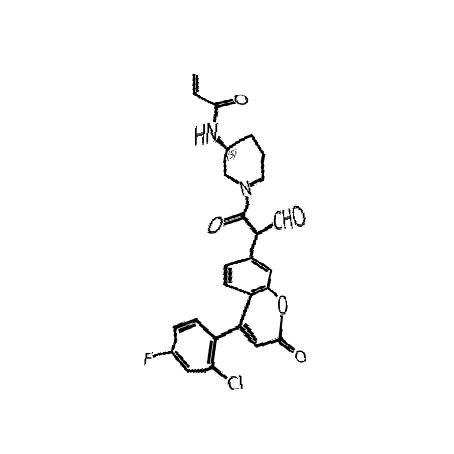 C=CC(=O)N[C@H]1CCCN(C(=O)C(C=O)c2ccc3c(-c4ccc(F)cc4Cl)cc(=O)oc3c2)C1